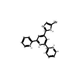 Brc1cnc(-c2cc(-c3ccccn3)nc(-c3ccccn3)c2)s1